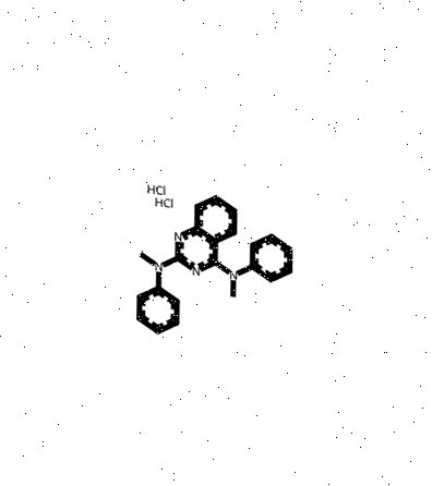 CN(c1ccccc1)c1nc(N(C)c2ccccc2)c2ccccc2n1.Cl.Cl